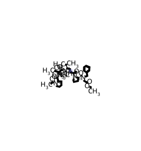 CCOC(=O)CN(Cc1ccccc1)C(=O)[C@@H]1CCCN1C(=O)/C(C)=C/[C@H](C(C)C)N(C)C(=O)[C@@H](NC(=O)C1CCCCN1C(C)C)C(C)(C)C